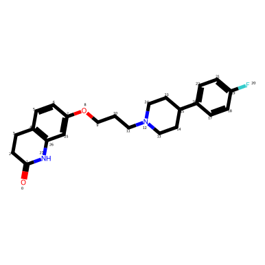 O=C1CCc2ccc(OCCCN3CCC(c4ccc(F)cc4)CC3)cc2N1